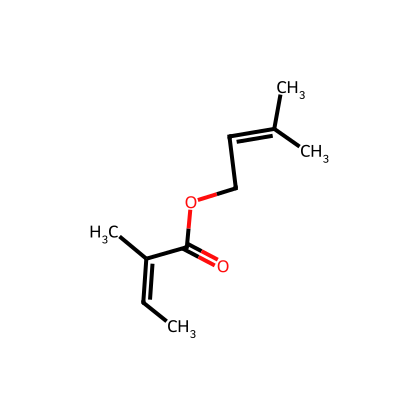 CC=C(C)C(=O)OCC=C(C)C